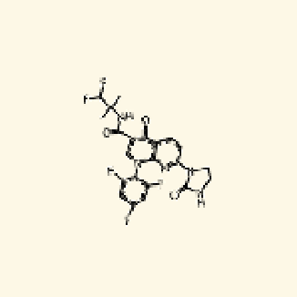 CC(C)(NC(=O)c1cn(-c2c(F)cc(F)cc2F)c2nc(N3CCNC3=O)ccc2c1=O)C(F)F